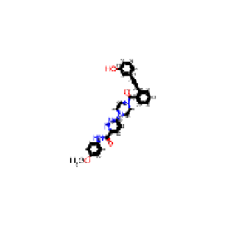 COc1ccc(NC(=O)c2ccc(N3CCN(C(=O)c4ccccc4C#Cc4cccc(O)c4)CC3)nn2)cc1